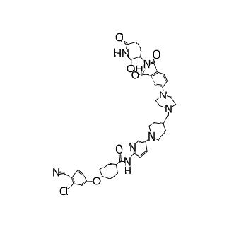 N#Cc1ccc(O[C@H]2CC[C@H](C(=O)Nc3ccc(N4CCC(CN5CCN(c6ccc7c(c6)C(=O)N(C6CCC(=O)NC6O)C7=O)CC5)CC4)cn3)CC2)cc1Cl